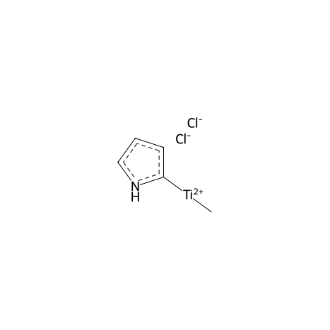 [CH3][Ti+2][c]1ccc[nH]1.[Cl-].[Cl-]